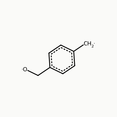 [CH2]c1ccc(C[O])cc1